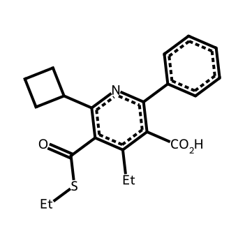 CCSC(=O)c1c(C2CCC2)nc(-c2ccccc2)c(C(=O)O)c1CC